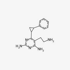 NCCc1c(N)nc(N)nc1C1CC1c1ccccc1